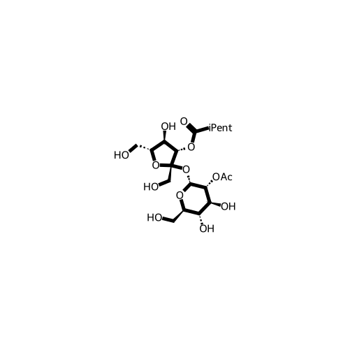 CCCC(C)C(=O)O[C@H]1[C@H](O)[C@@H](CO)O[C@@]1(CO)O[C@H]1O[C@H](CO)[C@@H](O)[C@H](O)[C@H]1OC(C)=O